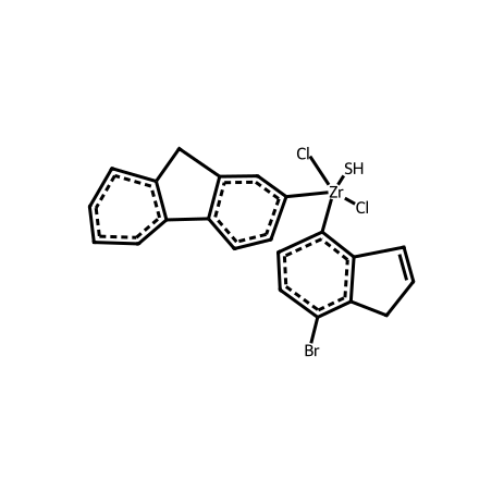 [SH][Zr]([Cl])([Cl])([c]1ccc2c(c1)Cc1ccccc1-2)[c]1ccc(Br)c2c1C=CC2